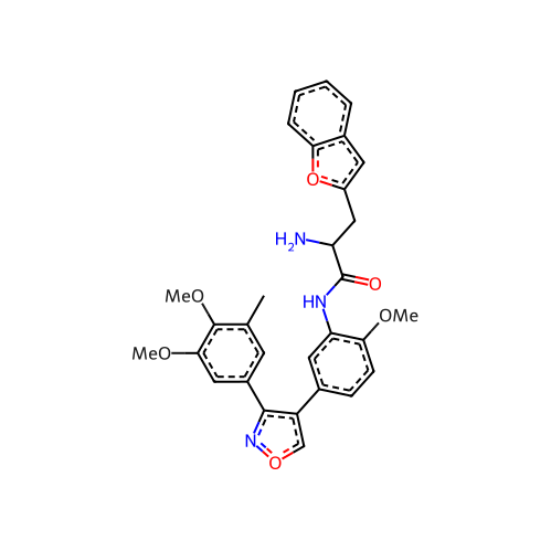 COc1ccc(-c2conc2-c2cc(C)c(OC)c(OC)c2)cc1NC(=O)C(N)Cc1cc2ccccc2o1